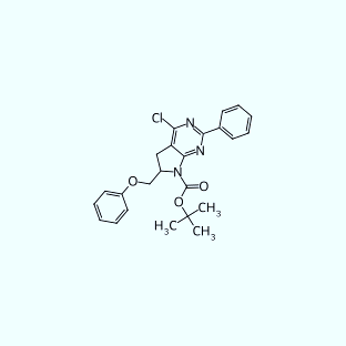 CC(C)(C)OC(=O)N1c2nc(-c3ccccc3)nc(Cl)c2CC1COc1ccccc1